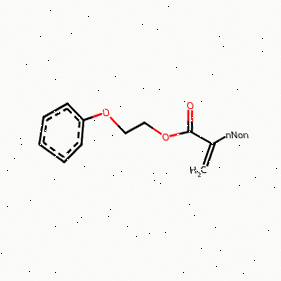 C=C(CCCCCCCCC)C(=O)OCCOc1ccccc1